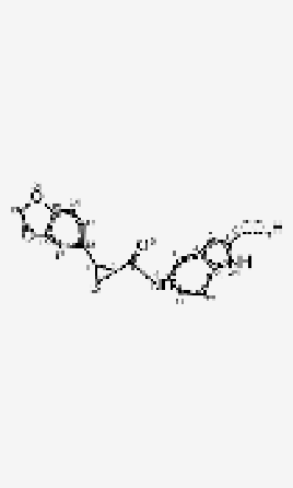 O=C(O)c1cc2cc(NC(=O)C3CC3c3ccc4c(c3)OCO4)ccc2[nH]1